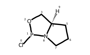 ClP1OC[C@H]2CCCN21